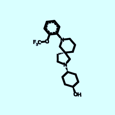 O[C@H]1CC[C@H](N2CC[C@]3(CCCN(c4ccccc4OC(F)(F)F)C3)C2)CC1